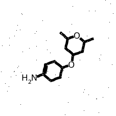 CC1CC(OC2CC=C(N)CC2)CC(C)O1